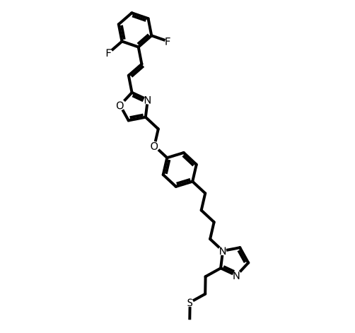 CSCCc1nccn1CCCCc1ccc(OCc2coc(C=Cc3c(F)cccc3F)n2)cc1